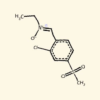 CC/[N+]([O-])=C/c1ccc(S(C)(=O)=O)cc1Cl